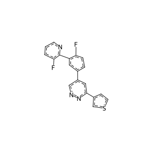 Fc1ccc(-c2cnnc(-c3ccsc3)c2)cc1-c1ncccc1F